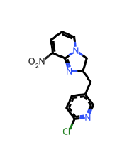 O=[N+]([O-])C1=CC=CN2CC(Cc3ccc(Cl)nc3)N=C12